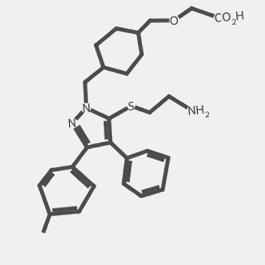 Cc1ccc(-c2nn(CC3CCC(COCC(=O)O)CC3)c(SCCN)c2-c2ccccc2)cc1